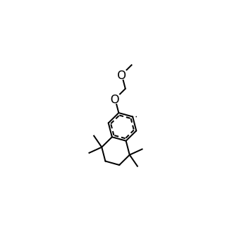 COCOc1[c]cc2c(c1)C(C)(C)CCC2(C)C